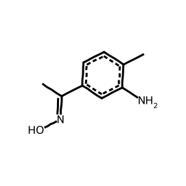 CC(=NO)c1ccc(C)c(N)c1